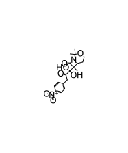 CC1(C)OCCC2N1C(=O)C2(C)C(O)(O)C(=O)Cc1ccc([N+](=O)[O-])cc1